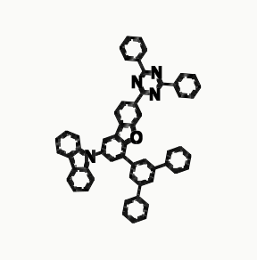 c1ccc(-c2cc(-c3ccccc3)cc(-c3cc(-n4c5ccccc5c5ccccc54)cc4c3oc3cc(-c5nc(-c6ccccc6)nc(-c6ccccc6)n5)ccc34)c2)cc1